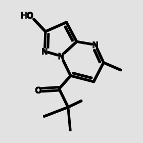 Cc1cc(C(=O)C(C)(C)C)n2nc(O)cc2n1